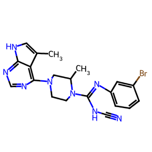 Cc1c[nH]c2ncnc(N3CCN(C(=Nc4cccc(Br)c4)NC#N)C(C)C3)c12